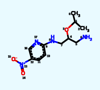 CC(C)OC(CN)CNc1ccc([N+](=O)[O-])cn1